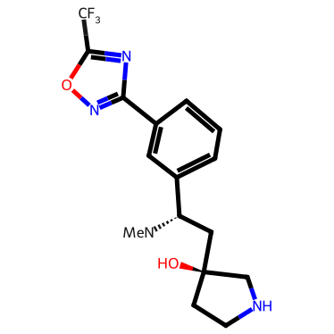 CN[C@@H](C[C@@]1(O)CCNC1)c1cccc(-c2noc(C(F)(F)F)n2)c1